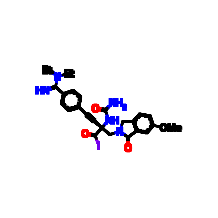 CCN(CC)C(=N)c1ccc(C#C[C@](CN2Cc3ccc(OC)cc3C2=O)(NC(N)=O)C(=O)I)cc1